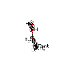 CCCC(C)C(C)n1cc(C(=O)Nc2ccc(Oc3ncnc4cc(OCCCCCCCCCC(=O)Nc5ccc6c(c5)C(=O)N(C5CCC(=O)NC5=O)C6=O)c(C)cc34)c(F)c2)c(=O)c2cc(CC)ccc21